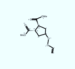 C=COOC1C[C@H](C(=O)OC)[C@@H](C(=O)OC)C1